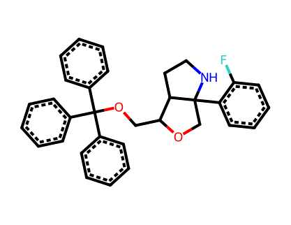 Fc1ccccc1C12COC(COC(c3ccccc3)(c3ccccc3)c3ccccc3)C1CCN2